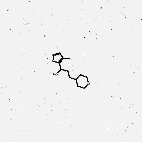 Cc1ccsc1C(O)CCC1CCOCC1